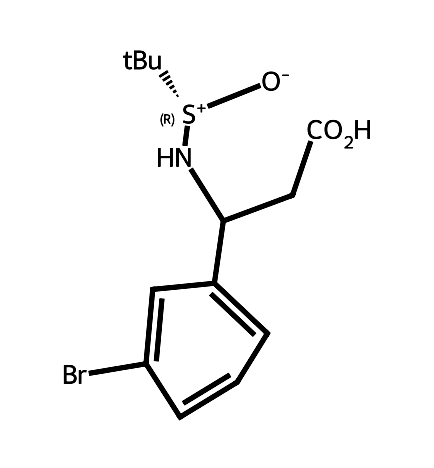 CC(C)(C)[S@+]([O-])NC(CC(=O)O)c1cccc(Br)c1